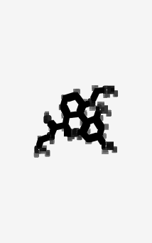 CCOC(=O)C(C)c1cccc(OCC)c1-c1c(C)cc(C)cc1C